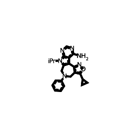 CC(C)n1c2c(c3c(N)ncnc31)-c1noc(C3CC3)c1CN(c1ccccc1)C2